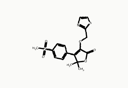 CC1(C)OC(=O)C(OCc2nccs2)=C1c1ccc(S(C)(=O)=O)cc1